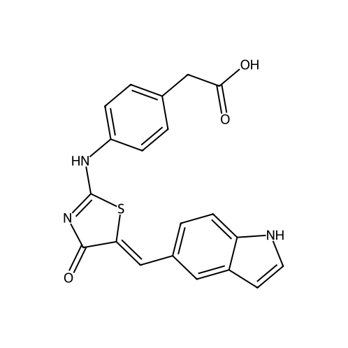 O=C(O)Cc1ccc(NC2=NC(=O)/C(=C/c3ccc4[nH]ccc4c3)S2)cc1